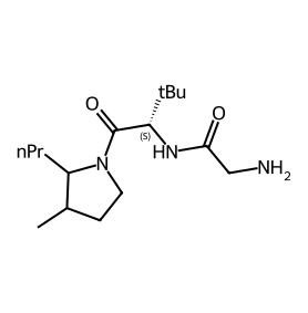 CCCC1C(C)CCN1C(=O)[C@@H](NC(=O)CN)C(C)(C)C